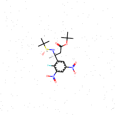 CC(C)(C)OC(=O)C[C@](C)(N[S@+]([O-])C(C)(C)C)c1cc([N+](=O)[O-])cc([N+](=O)[O-])c1F